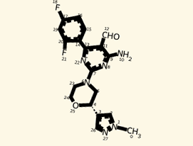 Cn1cc([C@H]2CN(c3nc(N)c(C=O)c(-c4ccc(F)cc4F)n3)CCO2)cn1